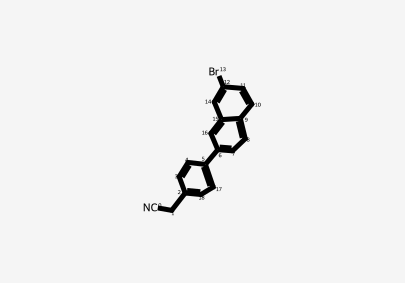 N#CCc1ccc(-c2ccc3ccc(Br)cc3c2)cc1